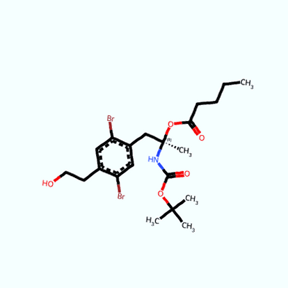 CCCCC(=O)O[C@](C)(Cc1cc(Br)c(CCO)cc1Br)NC(=O)OC(C)(C)C